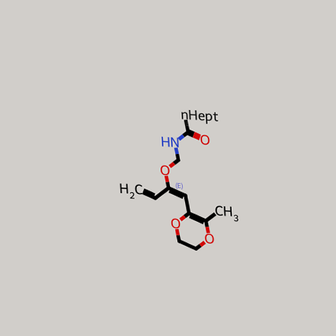 C=C/C(=C\C1=C(C)OCCO1)OCNC(=O)CCCCCCC